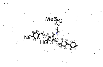 COC(=O)CCC/C=C\C[C@@H]1[C@@H](COCc2ccc(C#N)cc2)[C@H](O)C[C@H]1OCc1ccc(-c2ccccc2)cc1